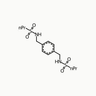 CCCS(=O)(=O)NCc1ccc(CNS(=O)(=O)CCC)cc1